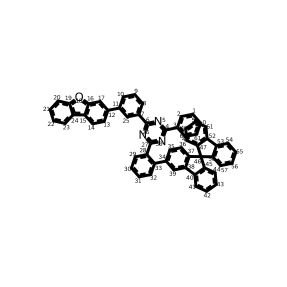 c1ccc(-c2nc(-c3cccc(-c4ccc5c(c4)oc4ccccc45)c3)nc(-c3ccccc3-c3ccc4c(c3)-c3ccccc3C43c4ccccc4-c4ccccc43)n2)cc1